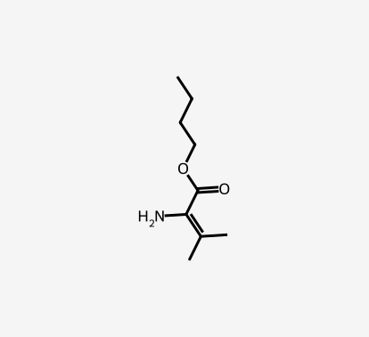 CCCCOC(=O)C(N)=C(C)C